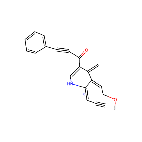 C#C/C=C1/NC=C(C(=O)C#Cc2ccccc2)C(=C)/C1=C/COC